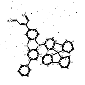 C=C/C=C(\C=C)c1ccc2c(c1)Sc1cc(-c3ccccc3)ccc1N2c1ccc2c(c1)C1(c3ccccc3-c3ccccc31)c1ccccc1-2